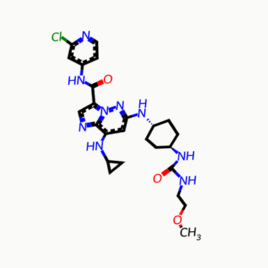 COCCNC(=O)N[C@H]1CC[C@H](Nc2cc(NC3CC3)c3ncc(C(=O)Nc4ccnc(Cl)c4)n3n2)CC1